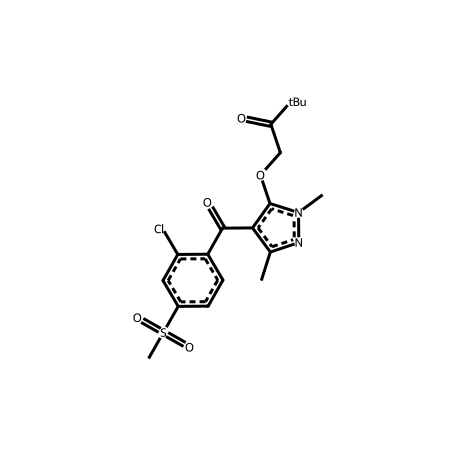 Cc1nn(C)c(OCC(=O)C(C)(C)C)c1C(=O)c1ccc(S(C)(=O)=O)cc1Cl